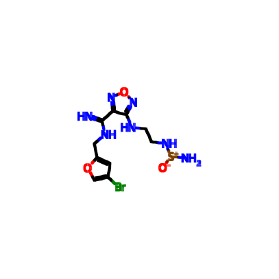 N=C(NCc1cc(Br)co1)c1nonc1NCCN[S+](N)[O-]